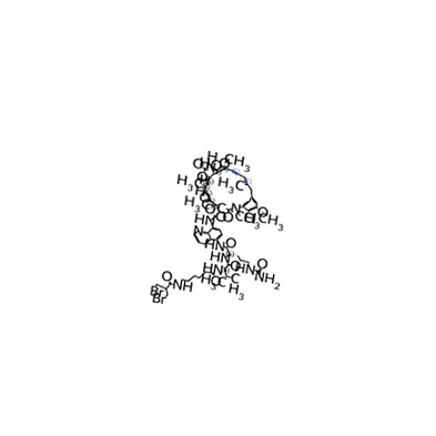 COc1cc2cc(c1Cl)N(C)C(=O)C[C@H](OC(=O)Nc1ccc(NC(=O)[C@H](CCCNC(N)=O)NC(=O)[C@@H](NC(=O)CCCCCNC(=O)C(CBr)CBr)C(C)C)c3cccnc13)[C@]1(C)O[C@H]1[C@H](C)[C@@H]1C[C@@](O)(NC(=O)O1)[C@H](OC)/C=C/C=C(\C)C2